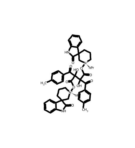 CCC[N@@+]1(OC(=O)C(O)(C(=O)c2ccc(C)cc2)C(O)(C(=O)O[N@+]2(CCC)CCCC3(C2)C(=O)Nc2ccccc23)C(=O)c2ccc(C)cc2)CCCC2(C1)C(=O)Nc1ccccc12